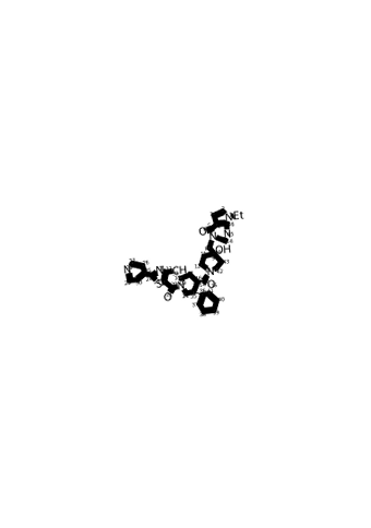 CCn1ccc2c(=O)n(CC3(O)CCN(C(=O)[C@@H]4CCN(C(=O)c5sc(-c6ccncc6)nc5C)C[C@H]4c4ccccc4)CC3)cnc21